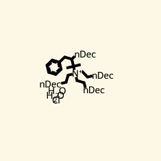 CCCCCCCCCCCC[N+](CCCCCCCCCCCC)(CCCCCCCCCCCC)C(C)(C)C(CCCCCCCCCC)Cc1ccccc1.O.O.[Cl-]